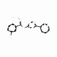 O=[N+]([O-])c1cccc(/C(=N\O)Nc2nnc(-c3cccnc3)s2)c1